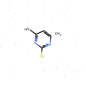 C.CCCc1ccnc(S)n1